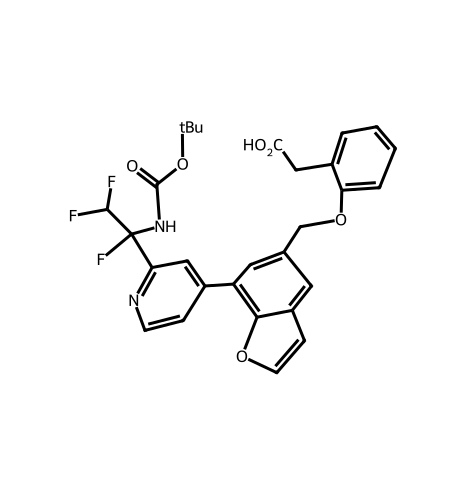 CC(C)(C)OC(=O)NC(F)(c1cc(-c2cc(COc3ccccc3CC(=O)O)cc3ccoc23)ccn1)C(F)F